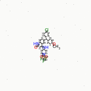 COc1ccc(C(c2ccc(Cl)cc2)c2ccc3[nH]c(=O)cc(NC4CCN(S(=O)(=O)C(F)(F)F)CC4)c3c2)cc1